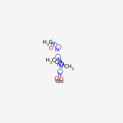 Cc1cc(N2CC[C@@H](CN3CCCC4CN(C)C(=O)C43)CC2(C)C)nn1C1CCN(C(=O)OC(C)(C)C)CC1